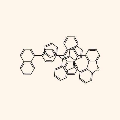 c1ccc(-c2c3ccccc3c(-c3cccc4sc5cccc(-c6c7ccccc7c(-c7ccc(-c8cccc9ccccc89)cc7)c7ccccc67)c5c34)c3ccccc23)cc1